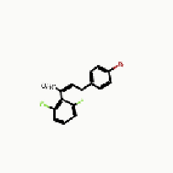 O=CC(=CCc1ccc(Br)cc1)c1c(F)cccc1F